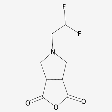 O=C1OC(=O)C2CN(CC(F)F)CC12